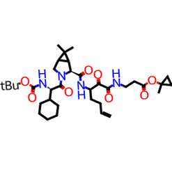 C=CCCC(NC(=O)[C@@H]1C2C(CN1C(=O)[C@@H](NC(=O)OC(C)(C)C)C1CCCCC1)C2(C)C)C(=O)C(=O)NCCC(=O)OC1(C)CC1